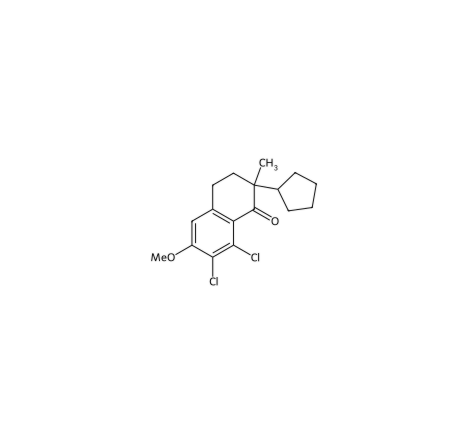 COc1cc2c(c(Cl)c1Cl)C(=O)C(C)(C1CCCC1)CC2